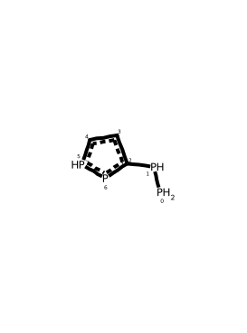 PPc1cc[pH]p1